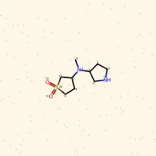 CN(C1CCNC1)C1CCS(=O)(=O)C1